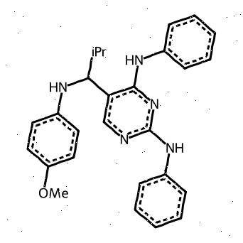 COc1ccc(NC(c2cnc(Nc3ccccc3)nc2Nc2ccccc2)C(C)C)cc1